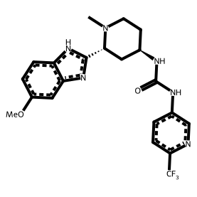 COc1ccc2[nH]c([C@H]3C[C@H](NC(=O)Nc4ccc(C(F)(F)F)nc4)CCN3C)nc2c1